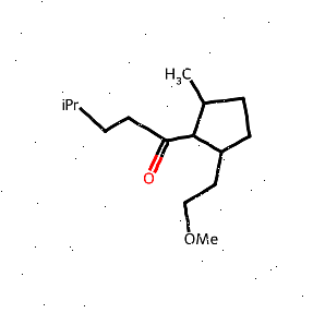 COCCC1CCC(C)C1C(=O)CCC(C)C